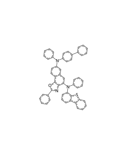 c1ccc(-c2ccc(N(c3ccccc3)c3ccc4c(c3)cc(N(c3ccccc3)c3cccc5c3sc3ccccc35)c3nc(-c5ccccc5)oc34)cc2)cc1